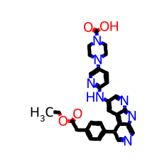 CCOC(=O)Cc1ccc(C2C=NC=C3N=c4ncc(Nc5ccc(N6CCN(C(=O)O)CC6)cn5)cc4=C32)cc1